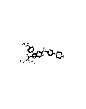 CN(C)C(=O)c1sc2cnc(Nc3ccc(N4CCNCC4)cn3)nc2c1[C@H]1CC[C@H](C)CC1